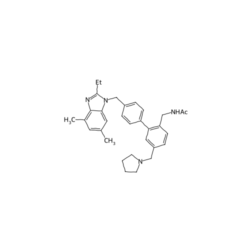 CCc1nc2c(C)cc(C)cc2n1Cc1ccc(-c2cc(CN3CCCC3)ccc2CNC(C)=O)cc1